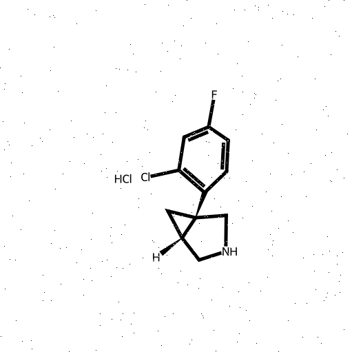 Cl.Fc1ccc([C@@]23CNC[C@@H]2C3)c(Cl)c1